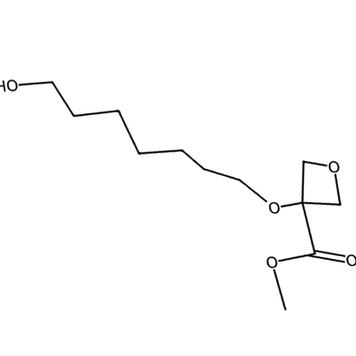 COC(=O)C1(OCCCCCCCO)COC1